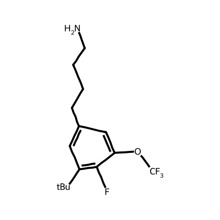 CC(C)(C)c1cc(CCCCN)cc(OC(F)(F)F)c1F